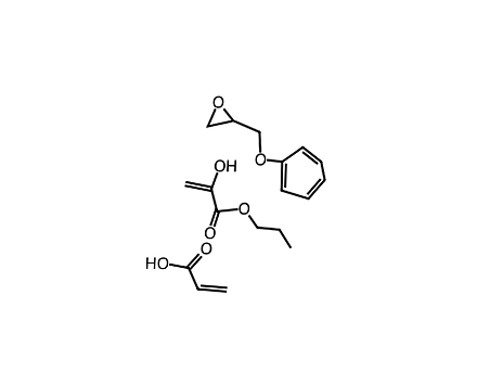 C=C(O)C(=O)OCCC.C=CC(=O)O.c1ccc(OCC2CO2)cc1